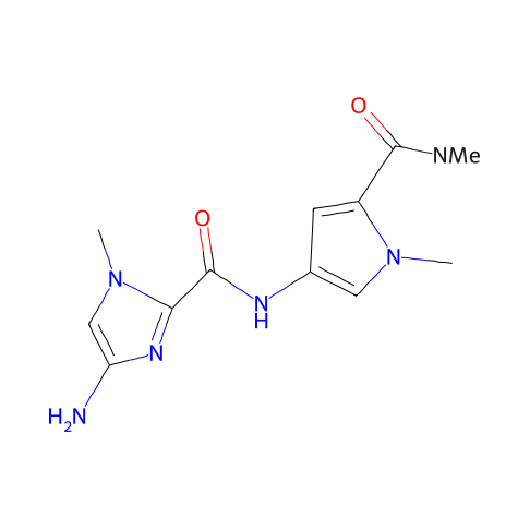 CNC(=O)c1cc(NC(=O)c2nc(N)cn2C)cn1C